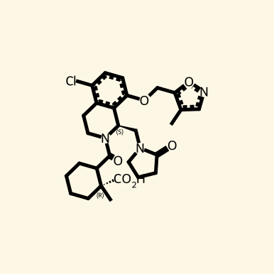 Cc1cnoc1COc1ccc(Cl)c2c1[C@@H](CN1CCCC1=O)N(C(=O)C1CCCC[C@@]1(C)C(=O)O)CC2